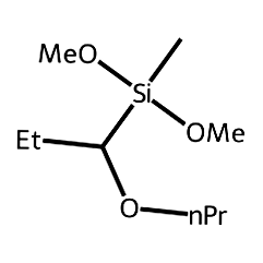 CCCOC(CC)[Si](C)(OC)OC